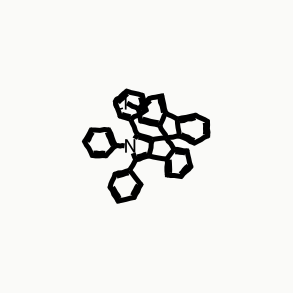 Clc1ccc2c(c1)C1(c3ccccc3-2)c2ccccc2-c2c1c(-c1ccccc1)n(-c1ccccc1)c2-c1ccccc1